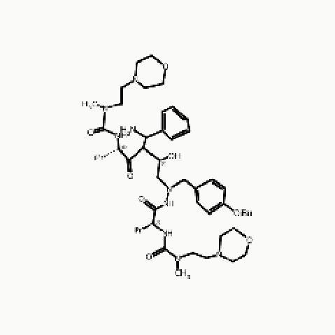 CC(C)COc1ccc(CN(C[C@H](O)C(C(=O)[C@@H](NC(=O)N(C)CCN2CCOCC2)C(C)C)C(N)c2ccccc2)NC(=O)[C@@H](NC(=O)N(C)CCN2CCOCC2)C(C)C)cc1